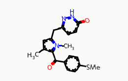 CSc1ccc(C(=O)c2c(C)cc(Cc3ccc(=O)[nH]n3)n2C)cc1